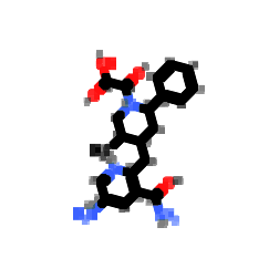 CC1CN(C(=O)C(=O)O)C(c2ccccc2)CC1Cc1ncc(N)cc1C(N)=O